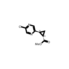 COC(=O)[C@H]1C[C@@H]1c1cnc(Cl)cn1